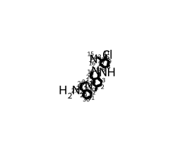 Cc1ccc2c(Nc3ccc(Cl)c(CN(C)C)c3)nccc2c1N1CC=C(N)c2ccccc21